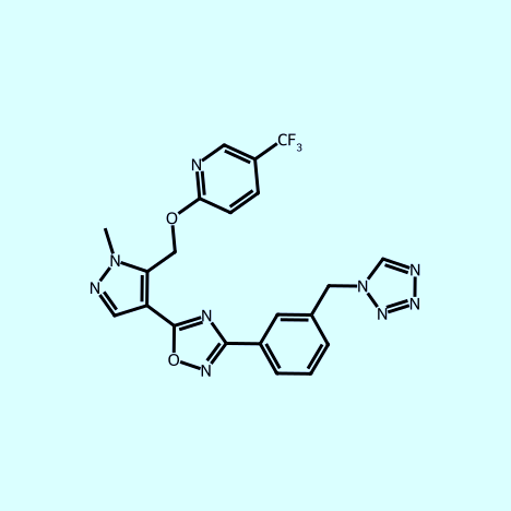 Cn1ncc(-c2nc(-c3cccc(Cn4cnnn4)c3)no2)c1COc1ccc(C(F)(F)F)cn1